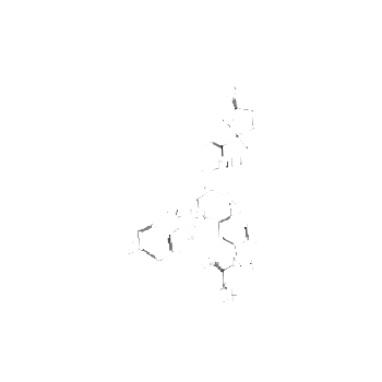 CC1(C(=O)NC[C@H]2CN(S(=O)(=O)c3ccc(F)cc3)c3cc(NC(=O)O)ccc3O2)CCC(=O)N1